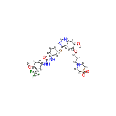 COc1cc2ncnc(Sc3cccc(NC(=O)Nc4ccc(OC)c(C(F)(F)F)c4)c3)c2cc1OCCCN1CCS(=O)(=O)CC1